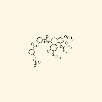 COc1cc2c(c(OC)c1OC)-c1ccc(SC)c(=O)cc1[C@@H](NC(=O)c1cccc(OC(=O)c3cccc(CO[N+](=O)[O-])c3)c1)CC2